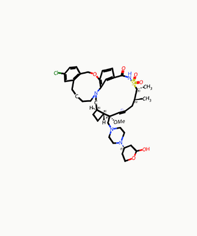 CO[C@@]1(CN2CCN([C@H]3CCOC(O)C3)CC2)/C=C/C[C@H](C)[C@@H](C)S(=O)(=O)NC(=O)c2ccc3c(c2)N(CCCCc2cc(Cl)ccc2CO3)C[C@@H]2CC[C@H]21